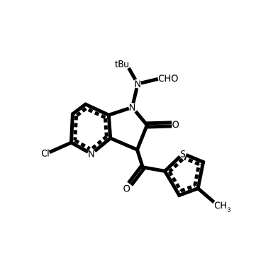 Cc1csc(C(=O)C2C(=O)N(N(C=O)C(C)(C)C)c3ccc(Cl)nc32)c1